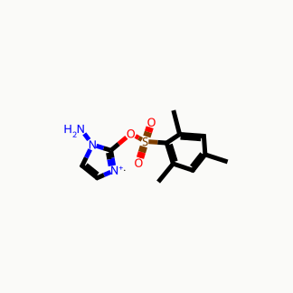 Cc1cc(C)c(S(=O)(=O)OC2=[N+]C=CN2N)c(C)c1